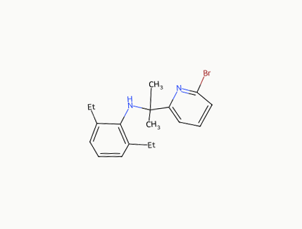 CCc1cccc(CC)c1NC(C)(C)c1cccc(Br)n1